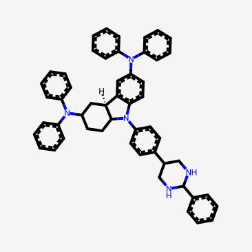 c1ccc(C2NCC(c3ccc(N4c5ccc(N(c6ccccc6)c6ccccc6)cc5[C@@H]5CC(N(c6ccccc6)c6ccccc6)CCC54)cc3)CN2)cc1